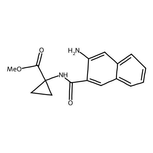 COC(=O)C1(NC(=O)c2cc3ccccc3cc2N)CC1